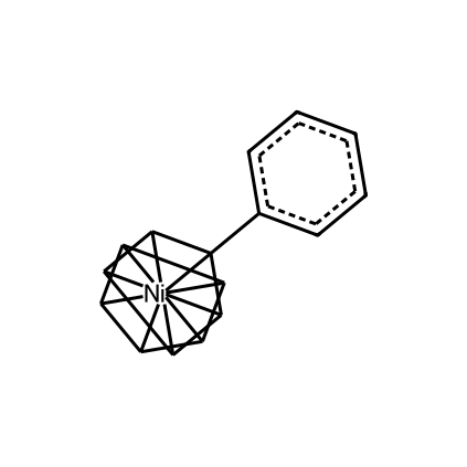 c1ccc([C]23[CH]4[CH]5[CH]6[CH]2[Ni]56432789[CH]3[CH]2[CH]7[CH]8[CH]39)cc1